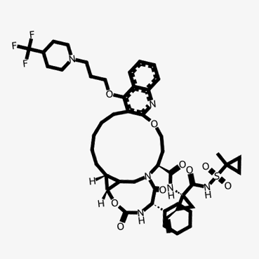 C=C[C@@H]1C[C@]1(NC(=O)[C@@H]1CCOc2nc3ccccc3c(OCCCN3CCC(C(F)(F)F)CC3)c2CCCCC[C@@H]2C3CN1C(=O)[C@H](C1CCCCC1)NC(=O)O[C@@H]32)C(=O)NS(=O)(=O)C1(C)CC1